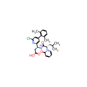 Cc1cccc(C)c1-c1cc(Cl)nc([C@H](CC(=O)O)NC(=O)[C@H](CC(C)C)n2ccccc2=O)c1